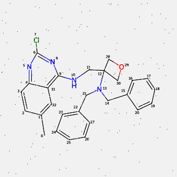 Cc1ccc2nc(Cl)nc(NCC3(N(Cc4ccccc4)Cc4ccccc4)COC3)c2c1